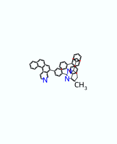 C\C1=C(c2ccc(-c3ccccc3)cc2)/N=C(c2ccc(-c3cc4ccc5ccccc5c4c4ccncc34)cc2)\N=C(\c2ccccc2-c2ccccc2)CC1